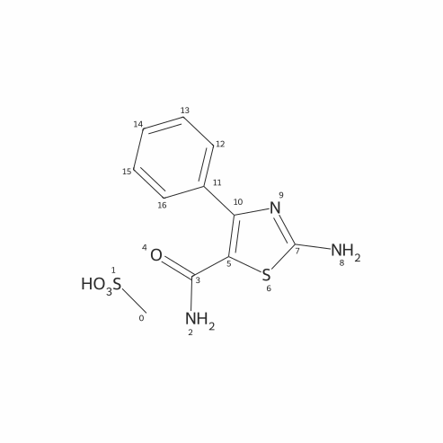 CS(=O)(=O)O.NC(=O)c1sc(N)nc1-c1ccccc1